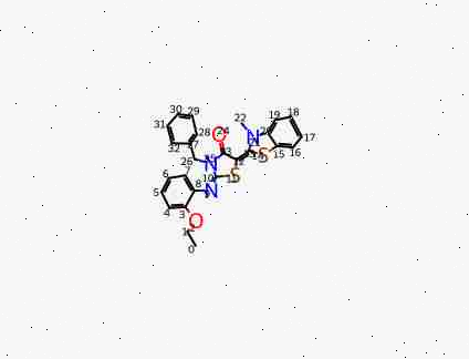 CCOc1ccccc1/N=C1/S/C(=C2\Sc3ccccc3N2C)C(=O)N1Cc1ccccc1